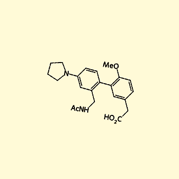 COc1ccc(CC(=O)O)cc1-c1ccc(N2CCCC2)cc1CNC(C)=O